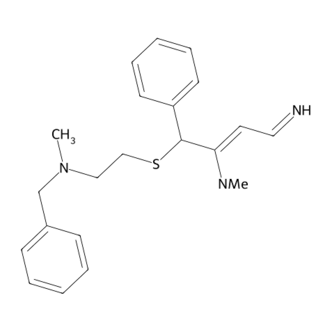 CN/C(=C\C=N)C(SCCN(C)Cc1ccccc1)c1ccccc1